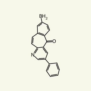 Bc1ccc2c(=O)c3cc(-c4ccccc4)cnc3ccc2c1